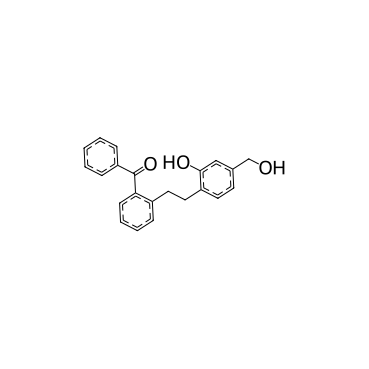 O=C(c1ccccc1)c1ccccc1CCc1ccc(CO)cc1O